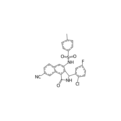 Cc1ccc(S(=O)(=O)Nc2cc3ccc(C#N)cc3c3c2C(c2cc(F)ccc2Cl)NC3=O)cc1